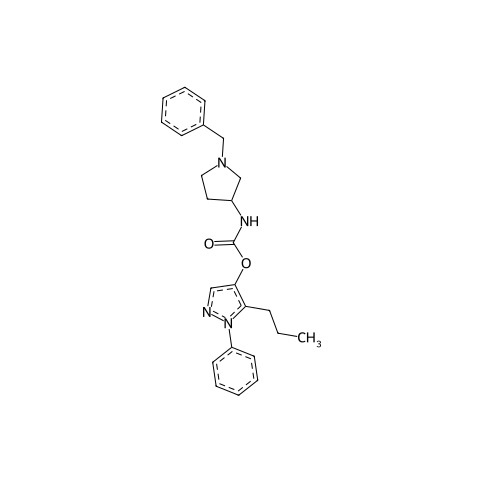 CCCc1c(OC(=O)NC2CCN(Cc3ccccc3)C2)cnn1-c1ccccc1